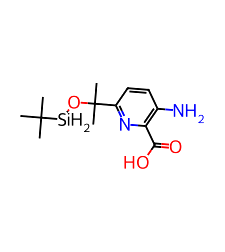 CC(C)(C)[SiH2]OC(C)(C)c1ccc(N)c(C(=O)O)n1